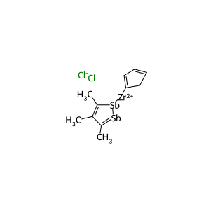 C[C]1=[Sb][Sb]([Zr+2][C]2=CC=CC2)[C](C)=C1C.[Cl-].[Cl-]